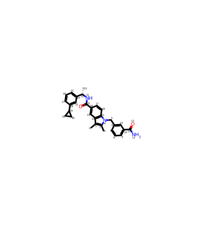 Cc1c(C)n(Cc2cccc(C(N)=O)c2)c2ccc(C(=O)N[C@@H](C)c3cccc(C4CC4)c3)cc12